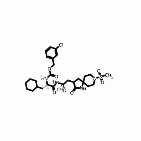 CS(=O)(=O)N1CCC2(CC1)CC(C[C@@H](C=O)NC(=O)[C@H](CC1CCCCC1)NC(=O)OCc1cccc(Cl)c1)C(=O)N2